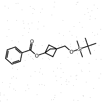 CC(C)(C)[Si](C)(C)OCC12CC(OC(=O)c3ccccc3)(C1)C2